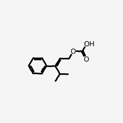 CC(C)C(=CCOC(=O)O)c1ccccc1